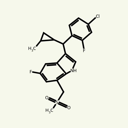 CC1CC1C(c1ccc(Cl)cc1F)c1c[nH]c2c(CS(C)(=O)=O)cc(F)cc12